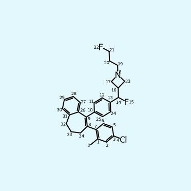 Cc1cc(Cl)ccc1C1=C(c2ccc(C(F)C3CN(CCCF)C3)cc2)c2ccccc2CCC1